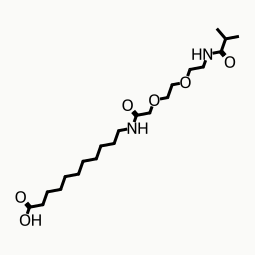 CC(C)C(=O)NCCOCCOCC(=O)NCCCCCCCCCCC(=O)O